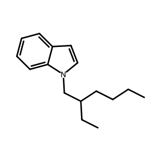 CCCCC(CC)Cn1ccc2ccccc21